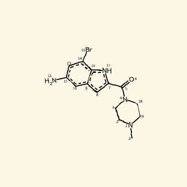 CN1CCN(C(=O)c2cc3cc(N)cc(Br)c3[nH]2)CC1